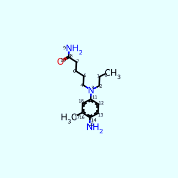 CCCN(CCCCC(N)=O)c1ccc(N)c(C)c1